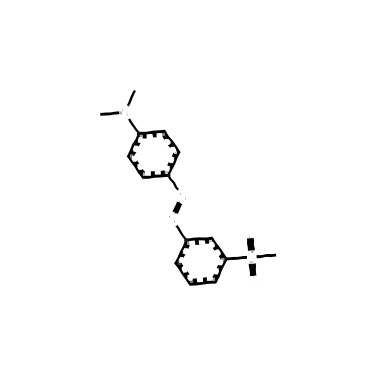 CN(C)c1ccc(/N=N/c2cccc(S(C)(=O)=O)c2)cc1